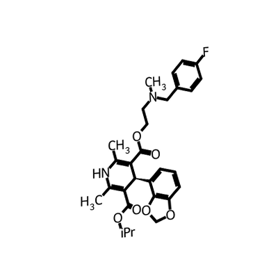 CC1=C(C(=O)OCCN(C)Cc2ccc(F)cc2)[C@@H](c2cccc3c2OCO3)C(C(=O)OC(C)C)=C(C)N1